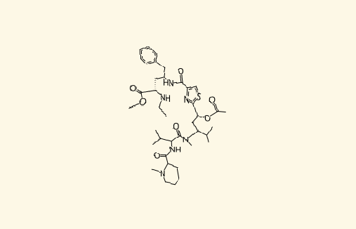 CCN[C@@H](CC(Cc1ccccc1)NC(=O)c1csc(C(CC(C(C)C)N(C)C(=O)C(NC(=O)C2CCCCN2C)C(C)C)OC(C)=O)n1)C(=O)OC